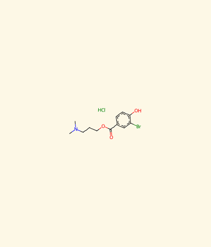 CN(C)CCCOC(=O)c1ccc(O)c(Br)c1.Cl